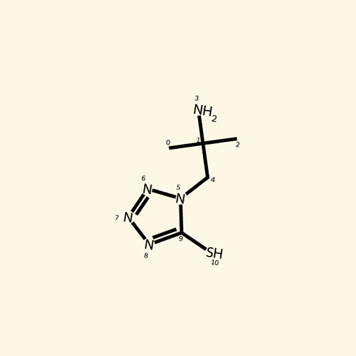 CC(C)(N)Cn1nnnc1S